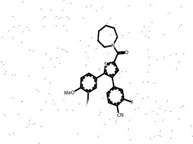 COc1ccc(-c2sc(C(=O)N3CCCCCC3)cc2-c2ccc(C#N)c(F)c2)cc1F